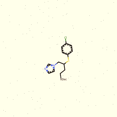 CCCCCCCCCCCCC(Cn1ccnc1)Sc1ccc(Cl)cc1